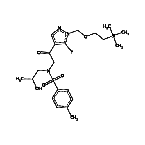 Cc1ccc(S(=O)(=O)N(CC(=O)c2cnn(COCC[Si](C)(C)C)c2F)C[C@@H](C)O)cc1